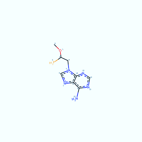 COC(P)Cn1cnc2c(N)ncnc21